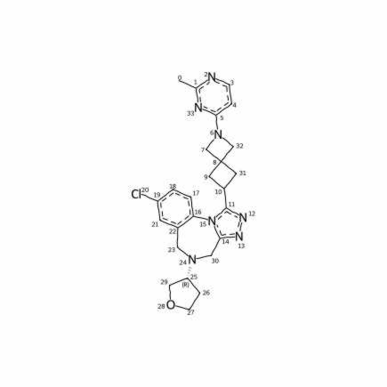 Cc1nccc(N2CC3(CC(c4nnc5n4-c4ccc(Cl)cc4CN([C@@H]4CCOC4)C5)C3)C2)n1